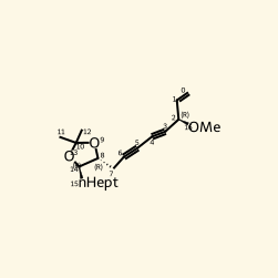 C=C[C@H](C#CC#CC[C@H]1OC(C)(C)O[C@@H]1CCCCCCC)OC